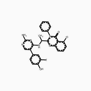 CC(Nc1nc(N)ncc1-c1ccc(O)c(F)c1)c1nc2cccc(Cl)c2c(=O)n1-c1ccccc1